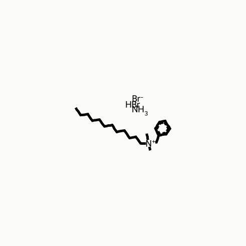 Br.CCCCCCCCCCCC[N+](C)(C)Cc1ccccc1.N.[Br-]